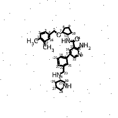 Cc1ccc(CO[C@H]2CCC[C@@H]2NC(=O)c2cc(-c3cccc(CN[C@H]4CCCNC4)c3)cnc2N)cc1C